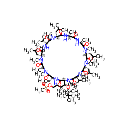 CC[C@H]1NC(=O)[C@@H]([C@H](O[Si](C)(C)C(C)(C)C)[C@H](C)CCOS(C)(=O)=O)N(C)C(=O)[C@@H](C(C)C)N(C)C(=O)[C@@H](CC(C)C)N(C)C(=O)[C@@H](CC(C)C)N(C)C(=O)[C@H](C)NC(=O)[C@@H](C)NC(=O)[C@@H](CC(C)C)N(C)C(=O)[C@@H](C(C)C)NC(=O)[C@H](CC(C)C)N(C)C(=O)[C@@H](C)N(C)C1=O